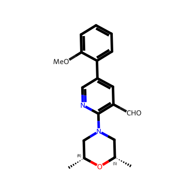 COc1ccccc1-c1cnc(N2C[C@@H](C)O[C@@H](C)C2)c(C=O)c1